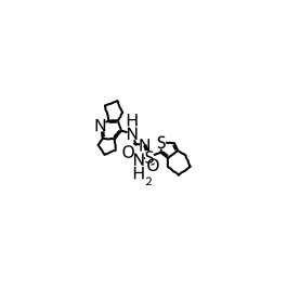 NS(=O)(=NC(=O)Nc1c2c(nc3c1CCC3)CCC2)c1scc2c1CCCC2